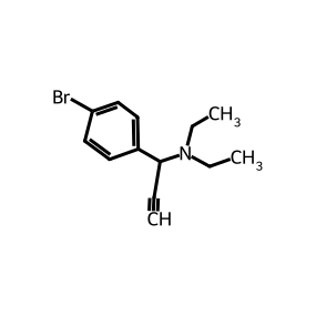 C#CC(c1ccc(Br)cc1)N(CC)CC